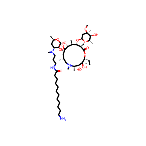 CC[C@H]1OC(=O)[C@H](C)[C@@H](O[C@H]2C[C@@](C)(OC)[C@@H](O)[C@H](C)O2)[C@H](C)[C@@H](O[C@@H]2O[C@H](C)C[C@H](N(C)CCCNC(=O)CCCCCCCCCCCN)[C@H]2O)[C@](C)(O)C[C@@H](C)CN(C)[C@H](C)[C@@H](O)[C@]1(C)O